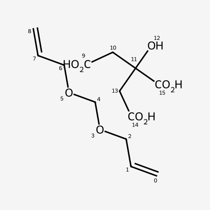 C=CCOCOCC=C.O=C(O)CC(O)(CC(=O)O)C(=O)O